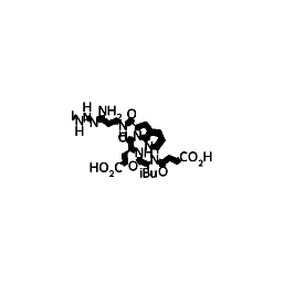 CC[C@H](C)[C@H](NC(=O)CCC(=O)O)C(=O)N[C@@H](CCC(=O)O)C(=O)N1c2ncccc2C[C@H]1C(=O)NCC/C(N)=N/NNI